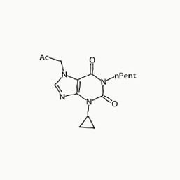 CCCCCn1c(=O)c2c(ncn2CC(C)=O)n(C2CC2)c1=O